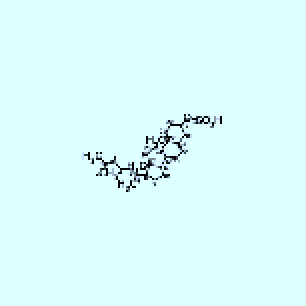 CC(C)=CCCC(C)C1CCC2C3=CC=C4CC(OS(=O)(=O)O)CCC4(C)C3CCC21C